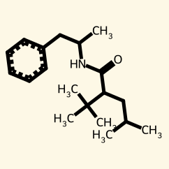 CC(C)CC(C(=O)NC(C)Cc1ccccc1)C(C)(C)C